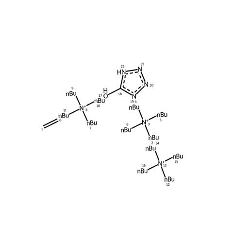 C=C.CCCC[N+](CCCC)(CCCC)CCCC.CCCC[N+](CCCC)(CCCC)CCCC.CCCC[N+](CCCC)(CCCC)CCCC.Oc1nnn[nH]1